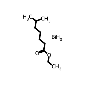 CCOC(=O)CCCCC(C)C.[BiH3]